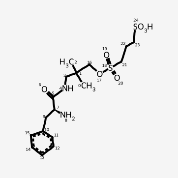 CC(C)(CNC(=O)[C@@H](N)Cc1ccccc1)COS(=O)(=O)CCCS(=O)(=O)O